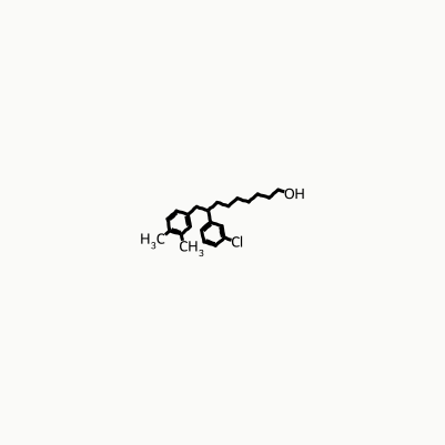 Cc1ccc(CC(CCCCCCCO)c2cccc(Cl)c2)cc1C